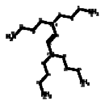 NCCCN(C=CN(CCCN)CCCN)CCCN